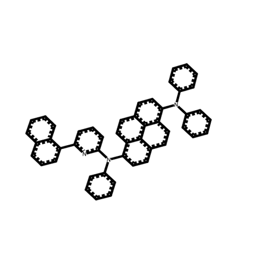 c1ccc(N(c2ccccc2)c2ccc3ccc4c(N(c5ccccc5)c5cccc(-c6cccc7ccccc67)n5)ccc5ccc2c3c54)cc1